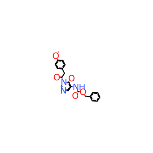 COc1ccc(CC(=O)n2cncc(NC(=O)OCc3ccccc3)c2=O)cc1